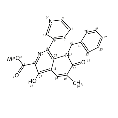 COC(=O)c1nc(-c2cccnc2)c2c(cc(C)c(=O)n2Cc2ccccc2)c1O